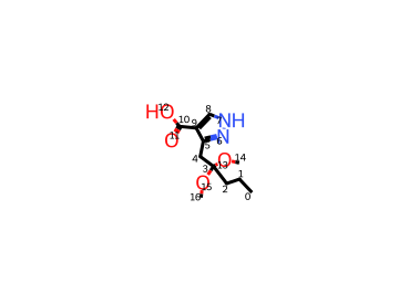 CCCC(Cc1n[nH]cc1C(=O)O)(OC)OC